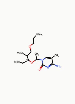 COCCOCC(OC)[C@H](COC)OC(C)n1cc(C)c(N)nc1=O